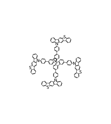 O=S12(c3ccc(-c4ccc(-n5c6ccccc6c6cc7sc8ccccc8c7cc65)cc4)cc3-c3cc(-c4ccc(-n5c6ccccc6c6cc7sc8ccccc8c7cc65)cc4)ccc31)c1ccc(-c3ccc(-n4c5ccccc5c5cc6sc7ccccc7c6cc54)cc3)cc1-c1cc(-c3ccc(-n4c5ccccc5c5cc6sc7ccccc7c6cc54)cc3)ccc12